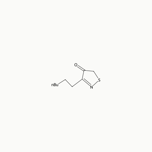 CCCCCCC1=NSCC1=O